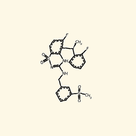 C[C@@H](c1ccccc1F)c1c(F)ccc2c1NC(NCc1cccc(S(C)(=O)=O)c1)=NS2(=O)=O